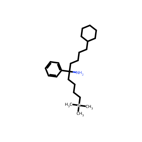 C[Si](C)(C)CCCCC(N)(CCCCC1CCCCC1)c1ccccc1